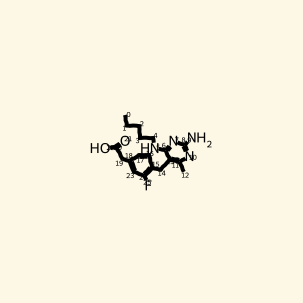 CCCCCNc1nc(N)nc(C)c1Cc1ccc(CC(=O)O)cc1F